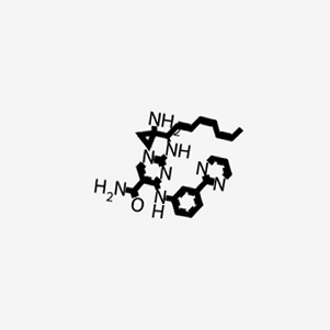 C\C=C/C=C\C=C\[C@@H](Nc1ncc(C(N)=O)c(Nc2cccc(-c3ncccn3)c2)n1)C1(N)CC1